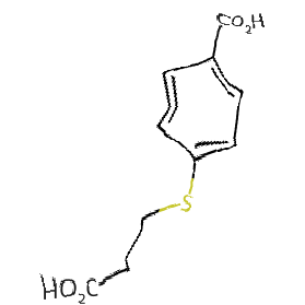 O=C(O)CCSc1ccc(C(=O)O)cc1